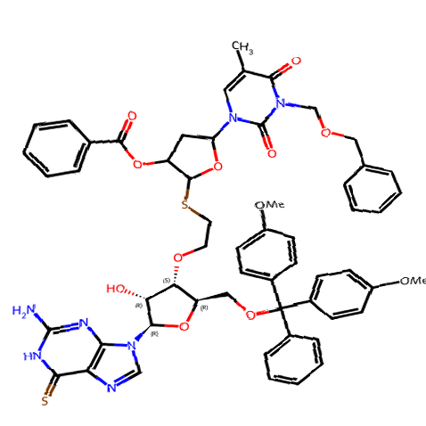 COc1ccc(C(OC[C@H]2O[C@@H](n3cnc4c(=S)[nH]c(N)nc43)[C@H](O)[C@@H]2OCCSC2OC(n3cc(C)c(=O)n(COCc4ccccc4)c3=O)CC2OC(=O)c2ccccc2)(c2ccccc2)c2ccc(OC)cc2)cc1